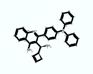 Nc1c([C@@H](N)[C@@H]2C=CC2)c(-c2ccc(N(c3ccccc3)c3ccccc3)cc2)nc2ccccc12